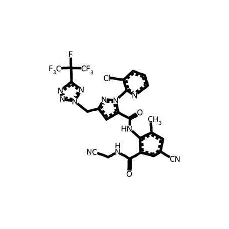 Cc1cc(C#N)cc(C(=O)NCC#N)c1NC(=O)c1cc(Cn2nnc(C(F)(C(F)(F)F)C(F)(F)F)n2)nn1-c1ncccc1Cl